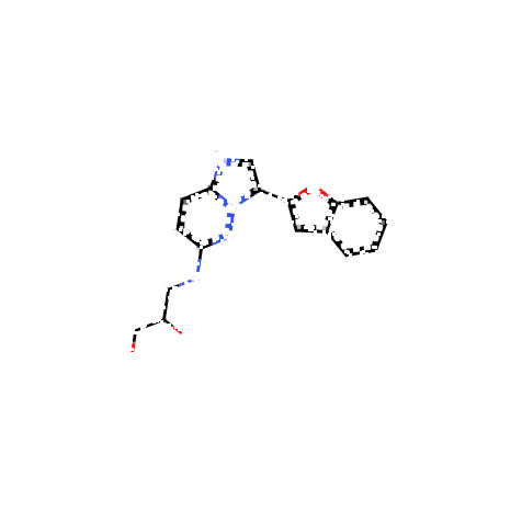 OCC(O)CNc1ccc2ncc(-c3cc4ccccc4o3)n2n1